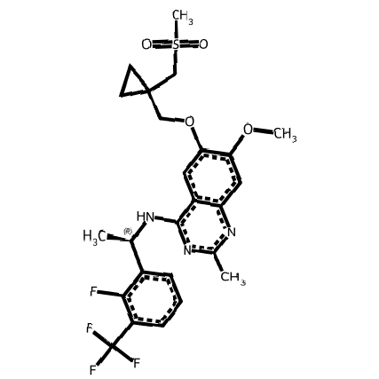 COc1cc2nc(C)nc(N[C@H](C)c3cccc(C(F)(F)F)c3F)c2cc1OCC1(CS(C)(=O)=O)CC1